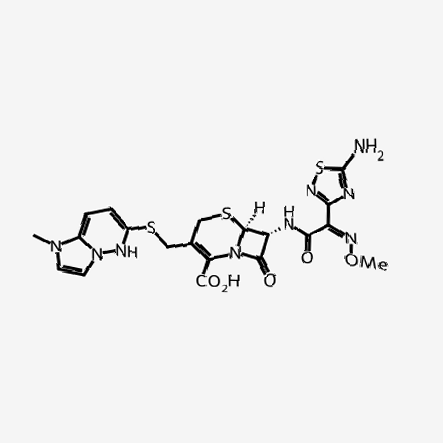 CO/N=C(\C(=O)N[C@@H]1C(=O)N2C(C(=O)O)=C(CSC3=CC=C4N(C)C=CN4N3)CS[C@@H]12)c1nsc(N)n1